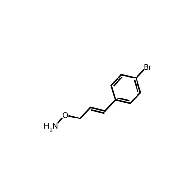 NOCC=Cc1ccc(Br)cc1